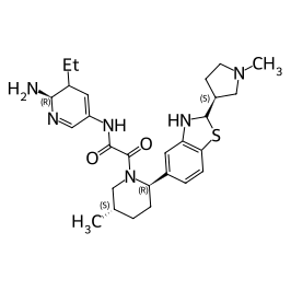 CCC1C=C(NC(=O)C(=O)N2C[C@@H](C)CC[C@@H]2c2ccc3c(c2)NC([C@H]2CCN(C)C2)S3)C=N[C@H]1N